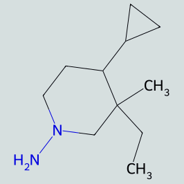 CCC1(C)CN(N)CCC1C1CC1